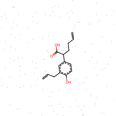 C=CCCC(C(=O)O)c1ccc(O)c(CC=C)c1